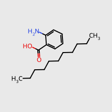 CCCCCCCCCCC.Nc1ccccc1C(=O)O